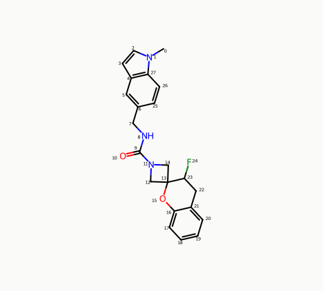 Cn1ccc2cc(CNC(=O)N3CC4(C3)Oc3ccccc3CC4F)ccc21